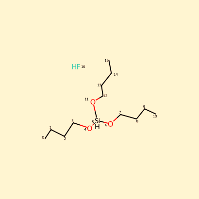 CCCCO[SiH](OCCCC)OCCCC.F